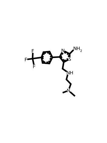 CN(C)CCNCc1sc(N)nc1-c1ccc(C(F)(F)F)cc1